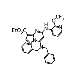 CCOC(=O)c1cnn2c(N(Cc3ccccc3)Cc3ccccc3)cc(Nc3cccnc3OC(F)(F)F)nc12